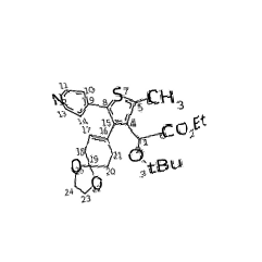 CCOC(=O)C(OC(C)(C)C)c1c(C)sc(-c2ccncc2)c1C1=CCC2(CC1)OCCO2